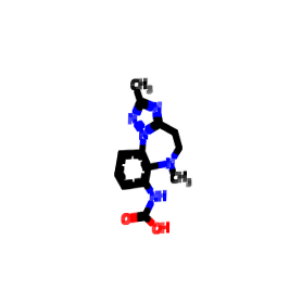 Cc1nc2n(n1)-c1cccc(NC(=O)O)c1N(C)CC2